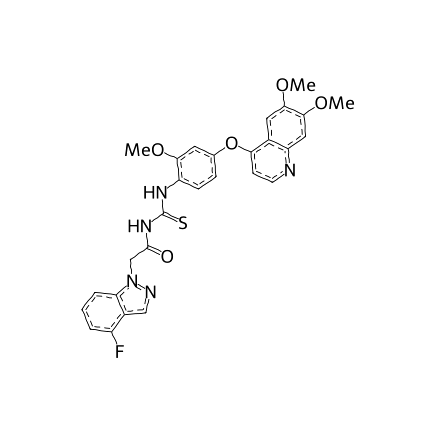 COc1cc(Oc2ccnc3cc(OC)c(OC)cc23)ccc1NC(=S)NC(=O)Cn1ncc2c(F)cccc21